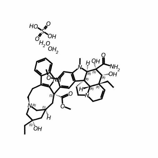 CC[C@]1(O)C[C@H]2C[N@](CCc3c([nH]c4ccccc34)[C@@](C(=O)OC)(c3cc4c(cc3OC)N(C)[C@H]3[C@@](O)(C(N)=O)[C@H](O)[C@]5(CC)C=CCN6CC[C@]43[C@@H]65)C2)C1.O.O.O=S(=O)(O)O